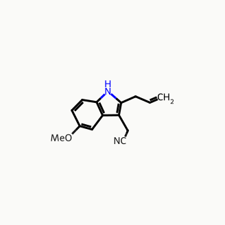 C=CCc1[nH]c2ccc(OC)cc2c1CC#N